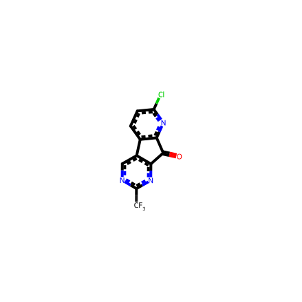 O=C1c2nc(Cl)ccc2-c2cnc(C(F)(F)F)nc21